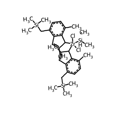 CC1=Cc2c(C[Si](C)(C)C)ccc(C)c2[CH]1[Zr]([Cl])([Cl])([CH]1C(C)=Cc2c(C[Si](C)(C)C)ccc(C)c21)[SiH](C)C